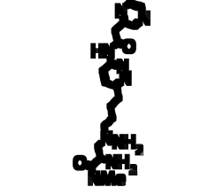 CNC(=O)C(N)CN(N)CCCCc1ccc(NC(=O)Cc2cnccn2)nn1